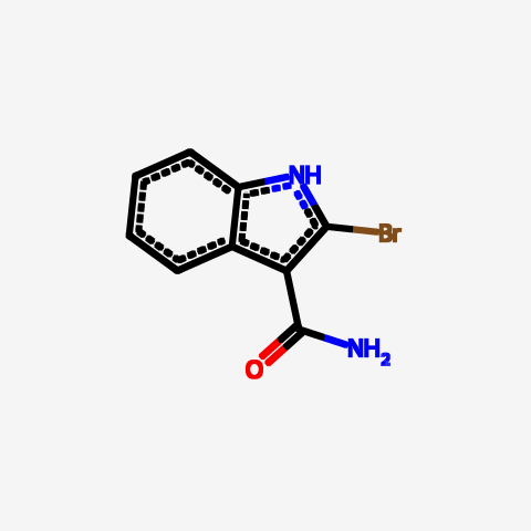 NC(=O)c1c(Br)[nH]c2ccccc12